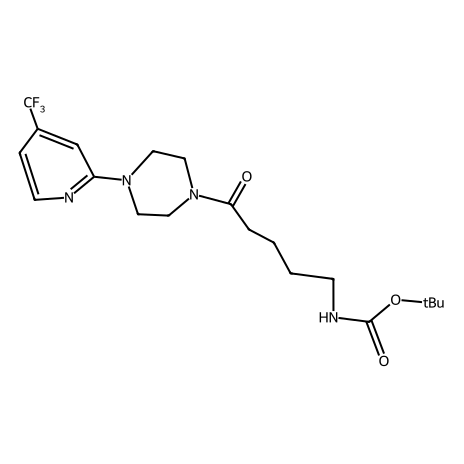 CC(C)(C)OC(=O)NCCCCC(=O)N1CCN(c2cc(C(F)(F)F)ccn2)CC1